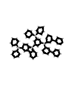 c1ccc(-c2cccc(N(c3cccc(-c4ccccc4)c3)c3cc(N(c4ccccc4)c4ccccc4)cc(-n4c5ccccc5c5cc(N(c6ccccc6)c6ccccc6)ccc54)c3)c2)cc1